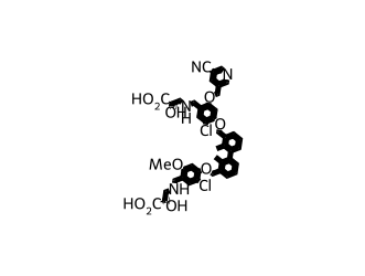 COc1cc(OCc2cccc(-c3cccc(COc4cc(OCc5cncc(C#N)c5)c(CNC[C@H](O)C(=O)O)cc4Cl)c3C)c2C)c(Cl)cc1CNC[C@H](O)C(=O)O